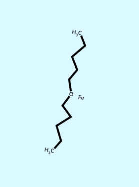 CCCCCOCCCCC.[Fe]